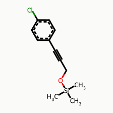 C[Si](C)(C)OCC#Cc1ccc(Cl)cc1